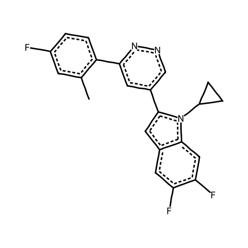 Cc1cc(F)ccc1-c1cc(-c2cc3cc(F)c(F)cc3n2C2CC2)cnn1